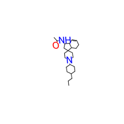 CCCC1CCC(N2CCC3(CC2)C[C@H](NC(C)=O)C2C=CCCC23)CC1